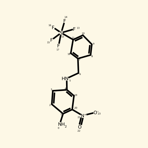 Nc1ccc(NCc2cccc(S(F)(F)(F)(F)F)c2)cc1[N+](=O)[O-]